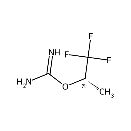 C[C@H](OC(=N)N)C(F)(F)F